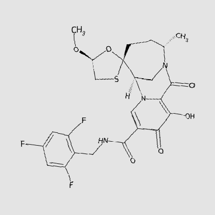 CO[C@@H]1CS[C@]2(CC[C@H](C)N3C[C@H]2n2cc(C(=O)NCc4c(F)cc(F)cc4F)c(=O)c(O)c2C3=O)O1